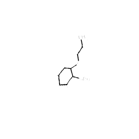 CCCCC1CCCCC1OCCP